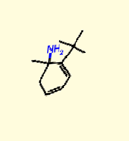 CC(C)(C)C1=CC=CCC1(C)N